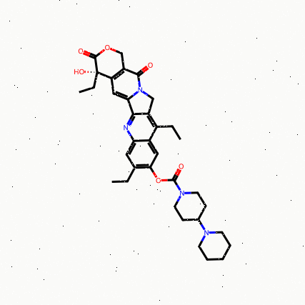 CCc1cc2nc3c(c(CC)c2cc1OC(=O)N1CCC(N2CCCCC2)CC1)Cn1c-3cc2c(c1=O)COC(=O)[C@]2(O)CC